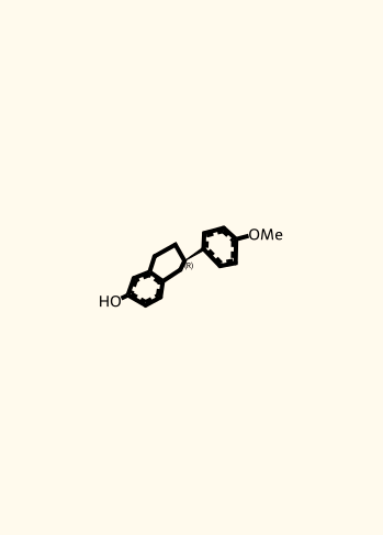 COc1ccc([C@@H]2CCc3cc(O)ccc3C2)cc1